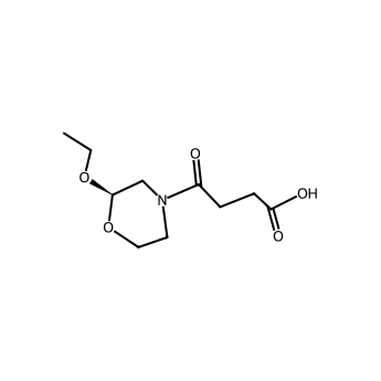 CCO[C@H]1CN(C(=O)CCC(=O)O)CCO1